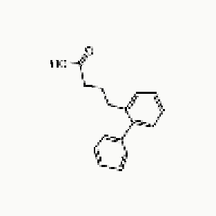 O=C(O)CCCc1ccccc1-c1ccccc1